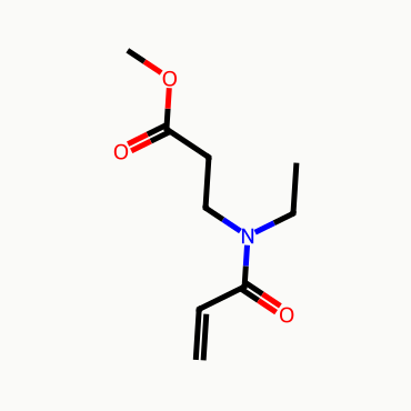 C=CC(=O)N(CC)CCC(=O)OC